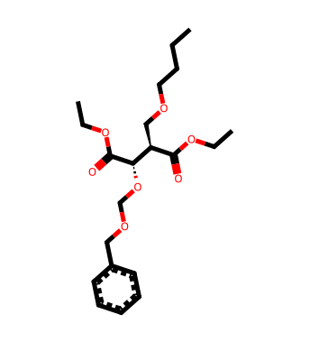 CCCCOC[C@@H](C(=O)OCC)[C@H](OCOCc1ccccc1)C(=O)OCC